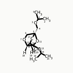 CC(C)OC[C@]12CO[C@@H]([C@H](C)O1)[C@@H](OC(C)C)C2